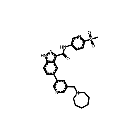 CS(=O)(=O)c1ccc(NC(=O)c2n[nH]c3ccc(-c4cncc(CN5CCCCCC5)c4)cc23)cn1